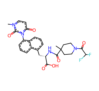 Cn1ccc(=O)n(-c2cccc3c(C[C@H](NC(=O)C4(C)CCN(C(=O)C(F)F)CC4)C(=O)O)cccc23)c1=O